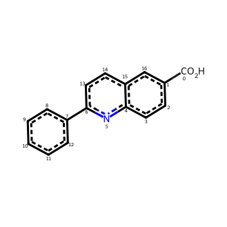 O=C(O)c1ccc2nc(-c3ccccc3)ccc2c1